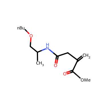 C=C(CC(=O)NC(C)COCCCC)C(=O)OC